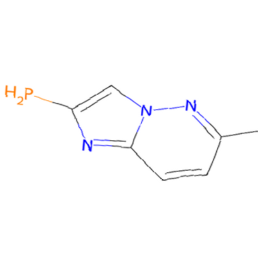 Cc1ccc2nc(P)cn2n1